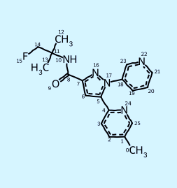 Cc1ccc(-c2cc(C(=O)NC(C)(C)CF)nn2-c2cccnc2)nc1